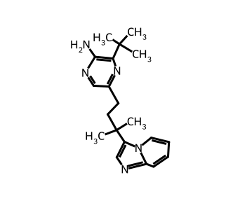 CC(C)(C)c1nc(CCC(C)(C)c2cnc3ccccn23)cnc1N